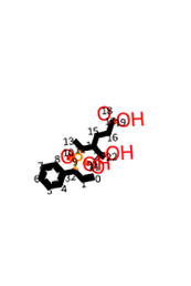 C=CC(c1ccccc1)P(=O)(O)C(C)C(CCC(=O)O)C(=O)O